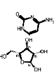 Nc1cc[nH]c(=O)n1.OC[C@H]1O[C@H](O)[C@@H](O)[C@@H]1O